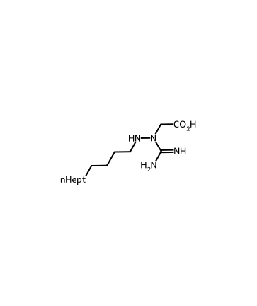 CCCCCCCCCCCNN(CC(=O)O)C(=N)N